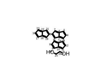 C1=CC2=CC=CC2=C1.C1=CC2=CC=CC2=C1.C1=CC2=CC=CC2=C1.OCCO